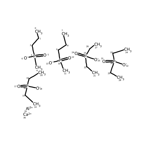 CCCP(C)(=O)[O-].CCCP(C)(=O)[O-].CCP(=O)([O-])CC.CCP(=O)([O-])CC.CCP(=O)([O-])CC.[Al+3].[Ca+2]